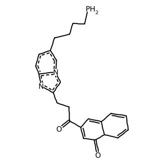 O=C(CCc1cn2cc(CCCCP)ccc2n1)C1=CC(=O)C2C=CC=CC2=C1